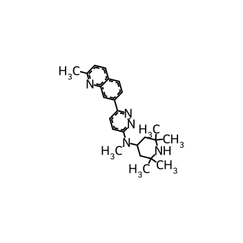 Cc1ccc2ccc(-c3ccc(N(C)C4CC(C)(C)NC(C)(C)C4)nn3)cc2n1